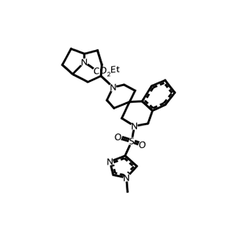 CCOC(=O)N1C2CCC(N3CCC4(CC3)CN(S(=O)(=O)c3cn(C)cn3)Cc3ccccc34)CC1CC2